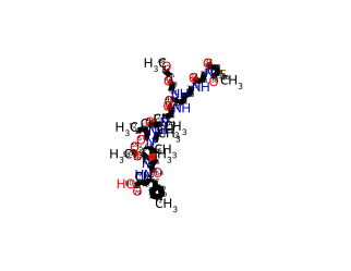 CCCN(C(=O)[C@@H](NC(=O)C(C)(C)N(C)CCC(=O)NC(CCCCNC(=O)CCN1C(=O)CC(SC)C1=O)C(=O)NCCOCCOC)C(C)CC)[C@H](C[C@@H](OC(C)=O)c1nc(C(=O)N[C@@H](Cc2ccc(C)cc2)CC(C)C(=O)O)cs1)C(C)C